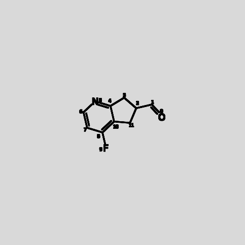 O=CC1Cc2nccc(F)c2C1